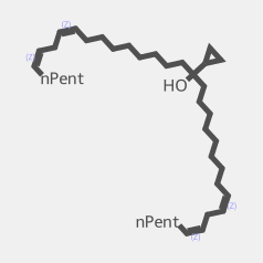 CCCCC/C=C\C/C=C\CCCCCCCCC(O)(CCCCCCCC/C=C\C/C=C\CCCCC)C1CC1